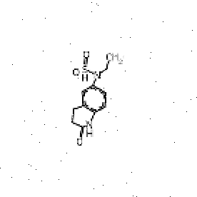 [CH2]CN(c1ccc2c(c1)CCC(=O)N2)[SH](=O)=O